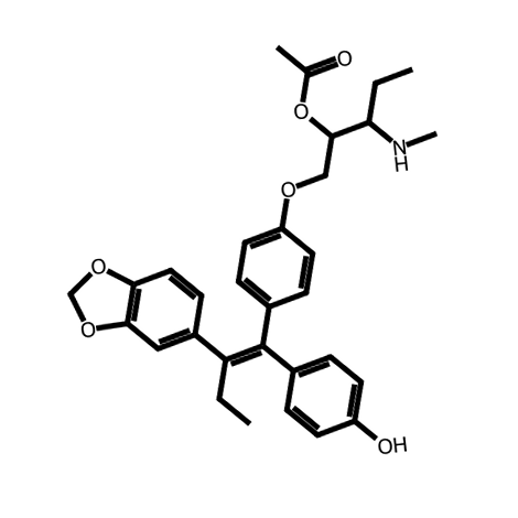 CCC(=C(c1ccc(O)cc1)c1ccc(OCC(OC(C)=O)C(CC)NC)cc1)c1ccc2c(c1)OCO2